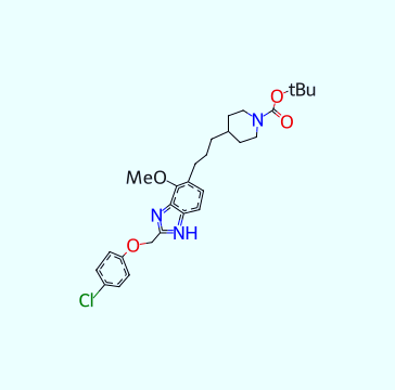 COc1c(CCCC2CCN(C(=O)OC(C)(C)C)CC2)ccc2[nH]c(COc3ccc(Cl)cc3)nc12